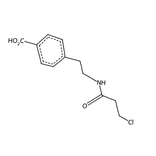 O=C(CCCl)NCCc1ccc(C(=O)O)cc1